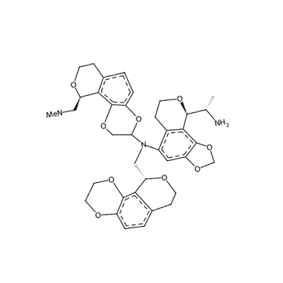 CNC[C@H]1OCCc2ccc3c(c21)OCC(N(C[C@@H]1OCCc2ccc4c(c21)OCCO4)c1cc2c(c4c1CCO[C@H]4[C@H](C)N)OCO2)O3